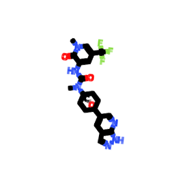 CN(C(=O)Nc1cc(C(F)(F)F)cn(C)c1=O)C12CCC(c3cnc4[nH]ncc4c3)(CC1)OC2